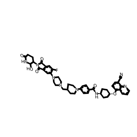 N#Cc1ccc(O[C@H]2CC[C@H](NC(=O)c3ccc(N4CCC(CN5CCN(c6cc7c(cc6F)C(=O)N(C6CCC(=O)NC6O)C7=O)CC5)CC4)cc3)CC2)c2cccnc12